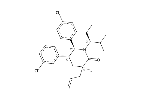 C=CC[C@@]1(C)C[C@H](c2cccc(Cl)c2)[C@@H](c2ccc(Cl)cc2)N([C@@H](CC)C(C)C)C1=O